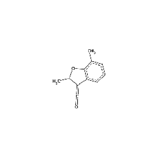 Cc1cccc2c1OC(C)C2=C=O